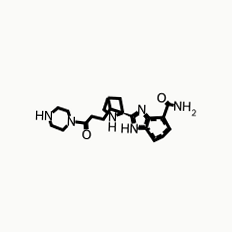 NC(=O)c1cccc2[nH]c([C@@]34CC(CN3)C4CCC(=O)N3CCNCC3)nc12